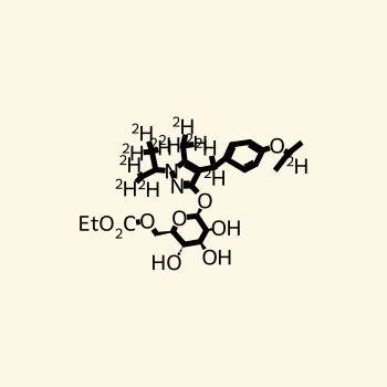 [2H]C(C)(C)Oc1ccc(C([2H])([2H])c2c(O[C@@H]3O[C@H](COC(=O)OCC)[C@@H](O)[C@H](O)[C@H]3O)nn(C(C([2H])([2H])[2H])C([2H])([2H])[2H])c2C([2H])([2H])[2H])cc1